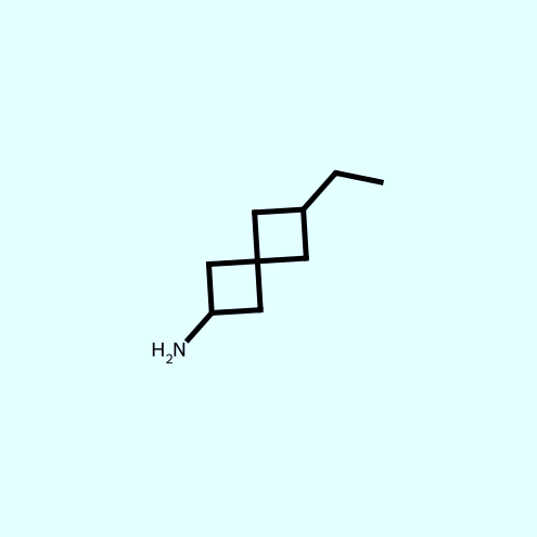 CCC1CC2(CC(N)C2)C1